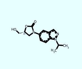 CC(C)n1ncc2cc(N3C[C@H](CO)OC3=O)ccc21